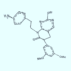 COc1cc(OC)cc(N2Cc3cnc(SC)nc3N(CCc3ccc(N)cc3)C2=O)c1